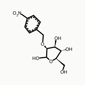 O=[N+]([O-])c1ccc(CO[C@@H]2C(O)O[C@H](CO)[C@@H](O)[C@@H]2O)cc1